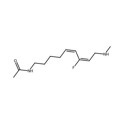 CNC/C=C(F)\C=C/CCCCNC(C)=O